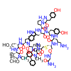 CCCC[C@@H](C(=O)N1CCC[C@@H]1C(=O)N[C@@H](CC(=O)O)C(=O)N[C@H](C(=O)N(C)[C@H](C=O)C(C)C)C(C)C)N(C)C(=O)C(Cc1ccccc1)N(C)C(=O)[C@H](Cc1ccc(F)cc1)NC(=O)CSC[C@@H](COCNCC(N)=O)NC(=O)[C@H](CCCN)NC(=O)[C@H](Cc1ccc(O)cc1)NC(=O)[C@H](Cc1c[nH]c2ccccc12)NC(=O)[C@H]1CCCN1C(=O)[C@@H](N)Cc1ccc(O)cc1